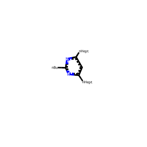 [CH2]CCCc1nc(CCCCCCC)cc(CCCCCCC)n1